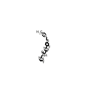 CN1CCN(CCOc2ccc(-c3ncc(CC(=O)NCc4nccc(F)n4)cn3)c(F)c2)CC1